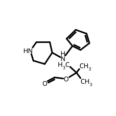 CC(C)(C)OC=O.c1ccc(NC2CCNCC2)cc1